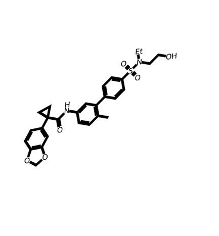 CCN(CCO)S(=O)(=O)c1ccc(-c2cc(NC(=O)C3(c4ccc5c(c4)OCO5)CC3)ccc2C)cc1